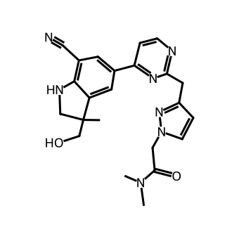 CN(C)C(=O)Cn1ccc(Cc2nccc(-c3cc(C#N)c4c(c3)C(C)(CO)CN4)n2)n1